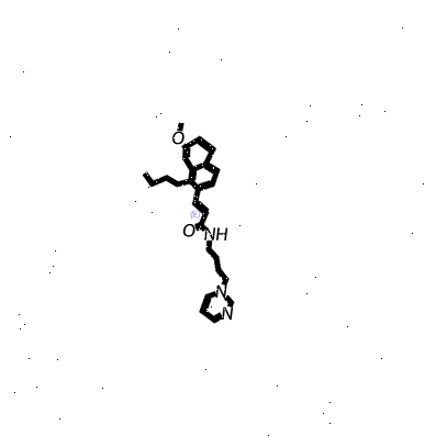 CCCCc1c(/C=C/C(=O)NCCCCN2C=CC=NC2)ccc2ccc(OC)cc12